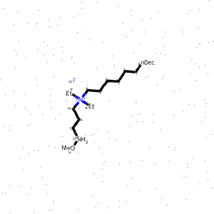 CCCCCCCCCCCCCCCC[N+](CC)(CC)CCC[SiH2]OC.[I-]